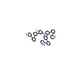 c1ccc(-c2ccccc2-c2ccc3c(c2)c2cc(-c4ccccc4-c4ccccn4)ccc2n3-c2ccc3sc4ccc(-c5ccccc5-c5cccnc5)cc4c3c2)nc1